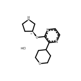 Cl.c1cnc(C2CCOCC2)c(O[C@H]2CCNC2)n1